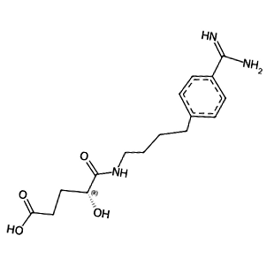 N=C(N)c1ccc(CCCCNC(=O)[C@H](O)CCC(=O)O)cc1